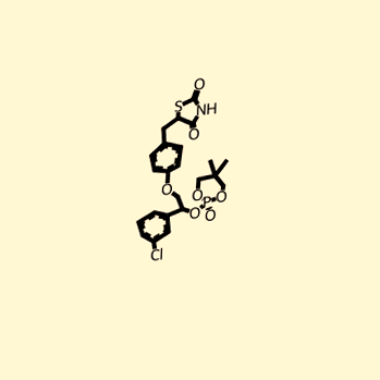 CC1(C)COP(=O)(OC(COc2ccc(CC3SC(=O)NC3=O)cc2)c2cccc(Cl)c2)OC1